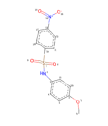 COc1ccc(NS(=O)(=O)c2ccc([N+](=O)[O-])cc2)cc1